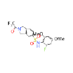 COc1cc(F)c(NS(=O)(=O)c2ccc3c(c2)CN(C(=O)C(F)(F)F)C3)c(OC)c1